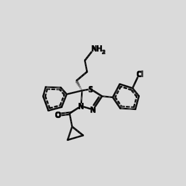 NCCC[C@]1(c2ccccc2)SC(c2cccc(Cl)c2)=NN1C(=O)C1CC1